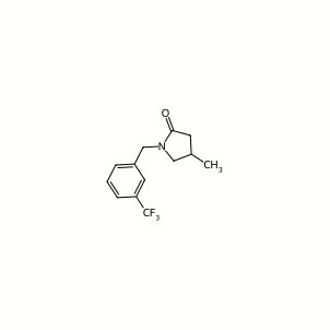 CC1CC(=O)N(Cc2cccc(C(F)(F)F)c2)C1